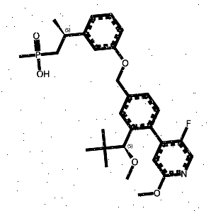 COc1cc(-c2ccc(COc3cccc([C@H](C)CP(C)(=O)O)c3)cc2[C@@H](OC)C(C)(C)C)c(F)cn1